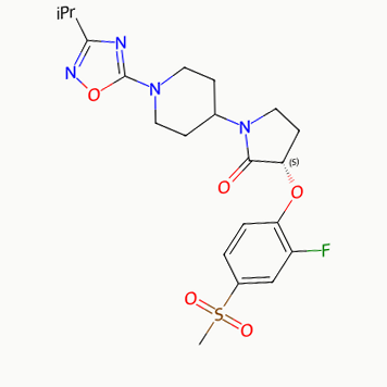 CC(C)c1noc(N2CCC(N3CC[C@H](Oc4ccc(S(C)(=O)=O)cc4F)C3=O)CC2)n1